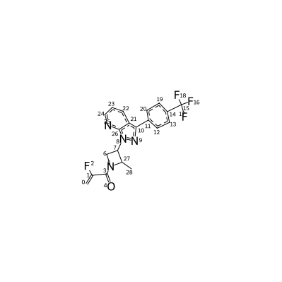 C=C(F)C(=O)N1CC(n2nc(-c3ccc(C(F)(F)F)cc3)c3cccnc32)C1C